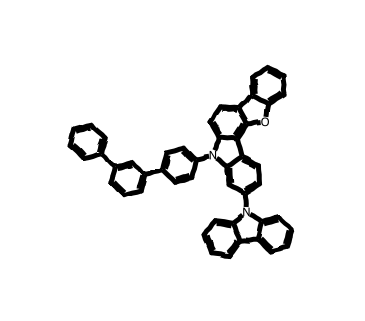 c1ccc(-c2cccc(-c3ccc(-n4c5cc(-n6c7ccccc7c7ccccc76)ccc5c5c6oc7ccccc7c6ccc54)cc3)c2)cc1